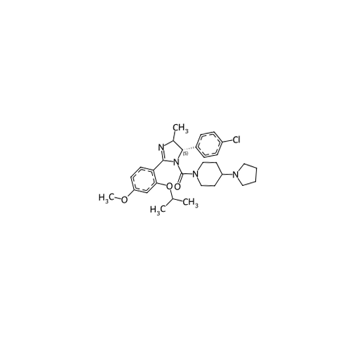 COc1ccc(C2=NC(C)[C@H](c3ccc(Cl)cc3)N2C(=O)N2CCC(N3CCCC3)CC2)c(OC(C)C)c1